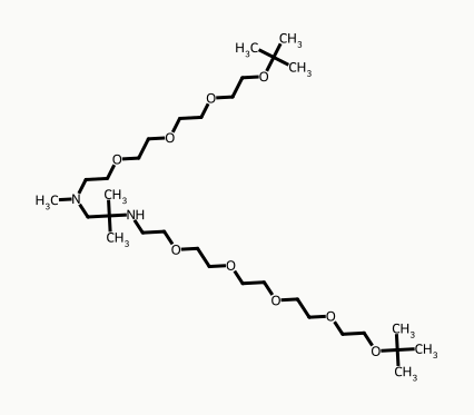 CN(CCOCCOCCOCCOC(C)(C)C)CC(C)(C)NCCOCCOCCOCCOCCOC(C)(C)C